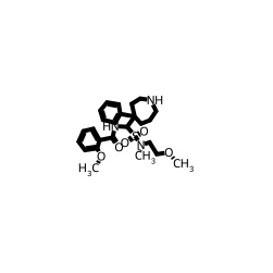 COCCN(C)S(=O)(=O)C(NC(=O)c1ccccc1OC)C1(c2ccccc2)CCCNCC1